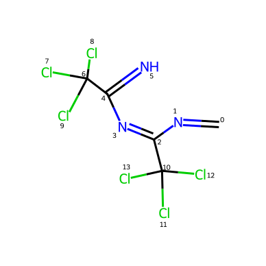 C=N/C(=N\C(=N)C(Cl)(Cl)Cl)C(Cl)(Cl)Cl